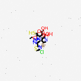 CCO[C@@H]1[C@H](S)O[C@@H](CO)[C@@H](O)[C@@]1(c1cc(Br)cnc1C(=O)O)n1cc(-c2nc(Cl)cs2)nn1